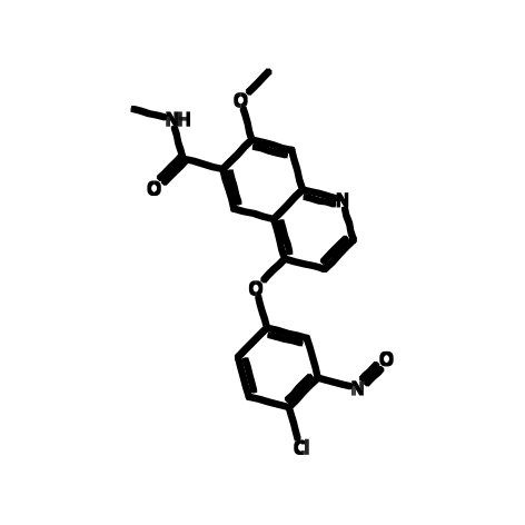 CNC(=O)c1cc2c(Oc3ccc(Cl)c(N=O)c3)ccnc2cc1OC